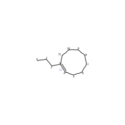 CCC/C1=[C]/CCCCCCC1